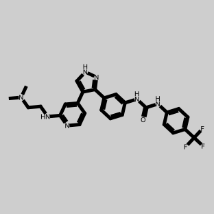 CN(C)CCNc1cc(-c2c[nH]nc2-c2cccc(NC(=O)Nc3ccc(C(F)(F)F)cc3)c2)ccn1